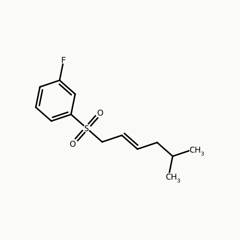 CC(C)CC=CCS(=O)(=O)c1cccc(F)c1